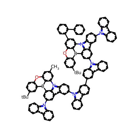 Cc1cc2c3c(c1)-n1c4ccc(-n5c6ccccc6c6ccc(-c7ccc8c(c7)c7ccccc7n8-c7cc8c9c(c7)c7cc(-n%10c%11ccccc%11c%11ccccc%11%10)ccc7n9-c7cc(-c9ccccc9-c9ccccc9)cc9c7B8c7cc(C(C)(C)C)ccc7O9)cc65)cc4c4cc(-n5c6ccccc6c6ccccc65)cc(c41)B3c1cc(C(C)(C)C)ccc1O2